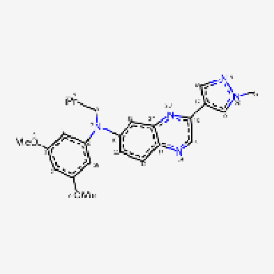 COc1cc(OC)cc(N(CC(C)C)c2ccc3ncc(-c4cnn(C)c4)nc3c2)c1